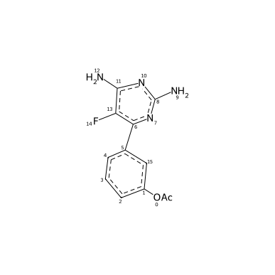 CC(=O)Oc1cccc(-c2nc(N)nc(N)c2F)c1